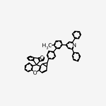 Cc1ccc(-c2cc(-c3ccccc3)nc(-c3ccccc3)c2)cc1-c1ccc(C2C3C=CC4=C(C32)C2(c3ccccc3O4)c3ccccc3-c3ccccc32)cc1